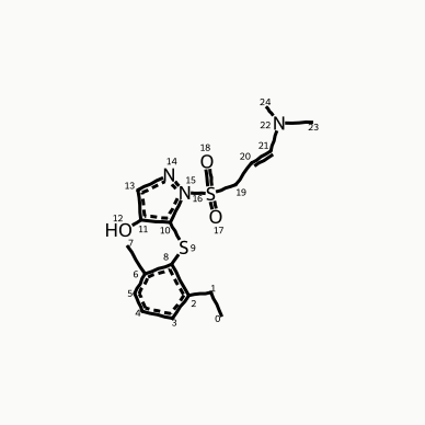 CCc1cccc(C)c1Sc1c(O)cnn1S(=O)(=O)CC=CN(C)C